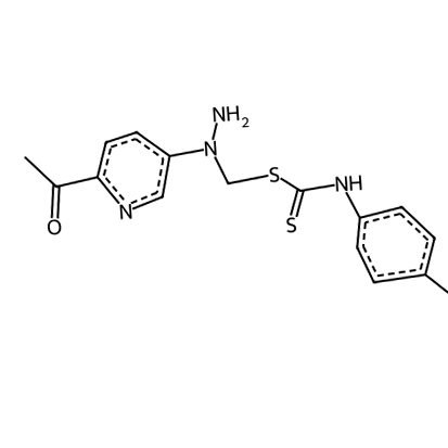 CC(=O)c1ccc(N(N)CSC(=S)Nc2ccc(C)cc2)cn1